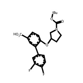 CC(C)(C)OC(=O)N1CCC(Oc2ccc(C(=O)O)cc2-c2ccc(F)c(F)c2)C1